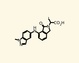 Cn1ncc2cc(Nc3cccc4c3C(=O)N(C(I)C(=O)O)C4)ccc21